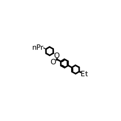 CCC[C@H]1CC[C@H](OC(=O)c2ccc(C3=CCC(CC)CC3)cc2)CC1